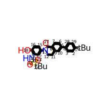 CC(C)(C)c1ccc(-c2ccc3c(c2)CCN(c2ccc(O)c(NS(=O)(=O)C(C)(C)C)c2)C3=O)cc1